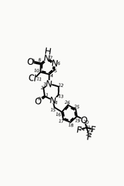 O=C1CN(c2cn[nH]c(=O)c2Cl)CCN1Cc1ccc(OC(F)(F)F)cc1